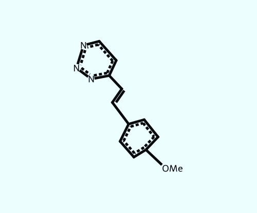 COc1ccc(C=Cc2ccnnn2)cc1